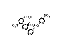 Cc1ccncc1.Cc1ccncc1.O=C(O)Oc1ccc([N+](=O)[O-])cc1.O=C(O)c1ccc([N+](=O)[O-])cc1